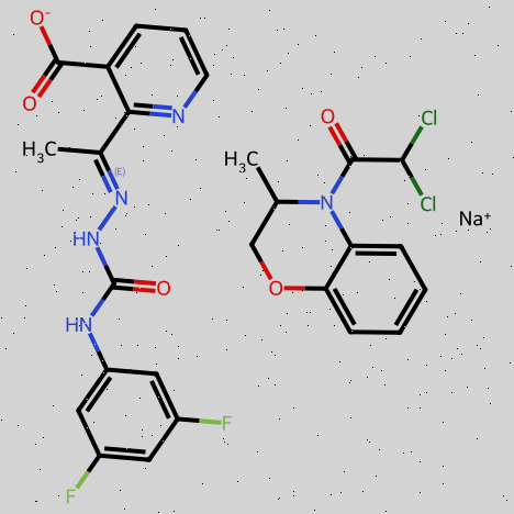 C/C(=N\NC(=O)Nc1cc(F)cc(F)c1)c1ncccc1C(=O)[O-].CC1COc2ccccc2N1C(=O)C(Cl)Cl.[Na+]